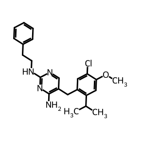 COc1cc(C(C)C)c(Cc2cnc(NCCc3ccccc3)nc2N)cc1Cl